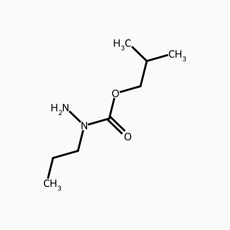 CCCN(N)C(=O)OCC(C)C